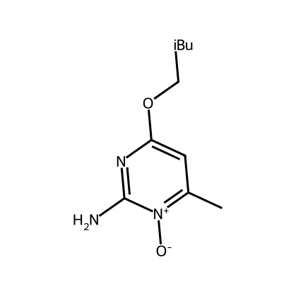 CCC(C)COc1cc(C)[n+]([O-])c(N)n1